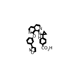 O=C(O)c1ccc(C2(Nc3nccc4ccnc(Oc5cccc(-c6ccon6)c5)c34)CC2)cc1